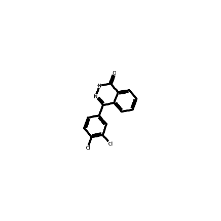 O=C1[N]N=C(c2ccc(Cl)c(Cl)c2)c2ccccc21